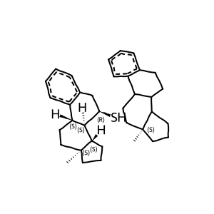 C[C@@]12CCCC1C1CCc3ccccc3C1CC2.C[C@@]12CCC[C@H]1[C@@H]1[C@H](S)Cc3ccccc3[C@H]1CC2